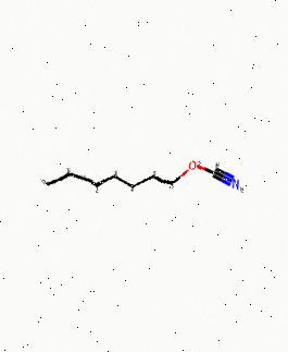 CCCCCCCOC#N